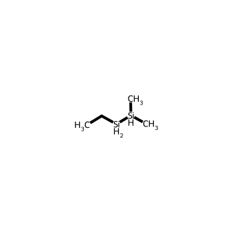 CC[SiH2][SiH](C)C